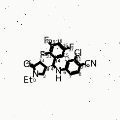 CCN1C[C@@H](C(Nc2ccc(C#N)c(Cl)c2)c2cc(F)cc(F)c2F)CC1=O